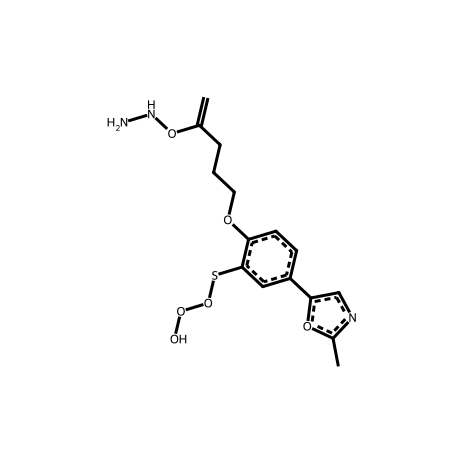 C=C(CCCOc1ccc(-c2cnc(C)o2)cc1SOOO)ONN